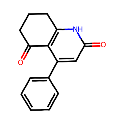 O=C1CCCc2[nH]c(=O)cc(-c3ccccc3)c21